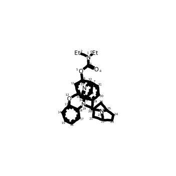 CCN(CC)C(=O)Oc1ccc2c(c1)Oc1ccccc1N2C1CC2CCC(C1)N2Cc1cccnc1